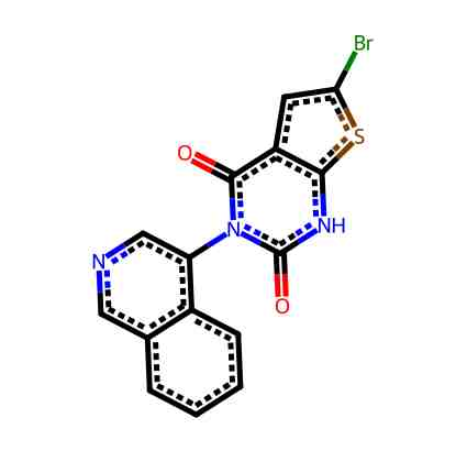 O=c1[nH]c2sc(Br)cc2c(=O)n1-c1cncc2ccccc12